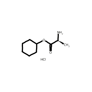 C[C@H](N)C(=O)OC1CCCCC1.Cl